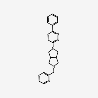 c1ccc(-c2ccc(N3CC4CN(Cc5ccccn5)CC4C3)nn2)cc1